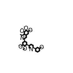 COc1cccc(-c2ccc(-c3cc(-c4cc5cc(OC)c(OC)c(OC)c5c(C)[n+]4C)cc(OC)c3OC)cn2)c1